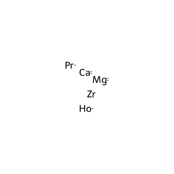 [Ca].[Ho].[Mg].[Pr].[Zr]